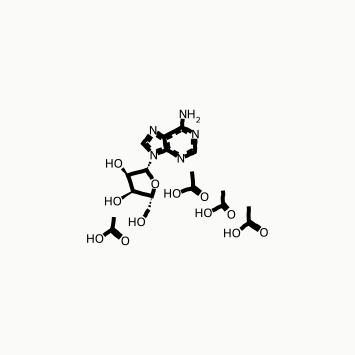 CC(=O)O.CC(=O)O.CC(=O)O.CC(=O)O.Nc1ncnc2c1ncn2[C@@H]1O[C@H](CO)[C@@H](O)[C@H]1O